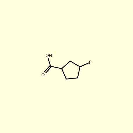 O=C(O)C1CCC(F)C1